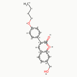 CCCCOc1ccc(-c2cc3ccc(CO)cc3oc2=O)cc1